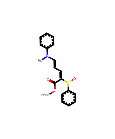 CCCCCCCCCOC(=O)/C(=C\C=C\N(C(C)=O)c1ccccc1)[S+]([O-])c1ccccc1